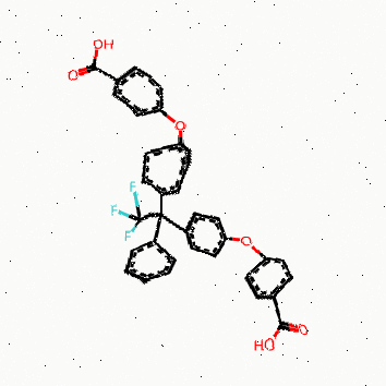 O=C(O)c1ccc(Oc2ccc(C(c3ccccc3)(c3ccc(Oc4ccc(C(=O)O)cc4)cc3)C(F)(F)F)cc2)cc1